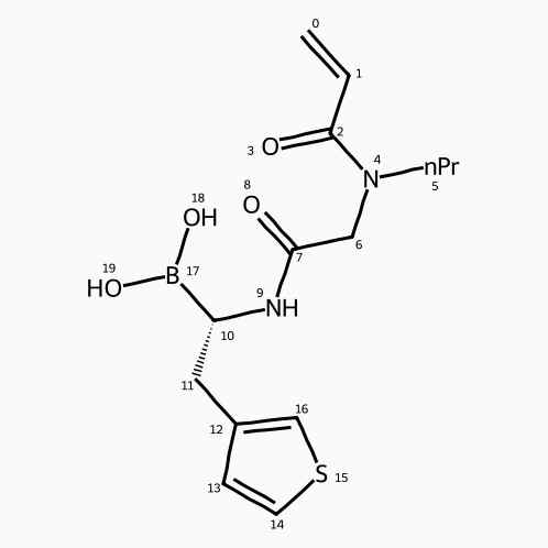 C=CC(=O)N(CCC)CC(=O)N[C@H](Cc1ccsc1)B(O)O